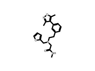 CNC(=O)CN(CCc1cccc(-c2c(C)noc2C)c1)Cc1ccco1